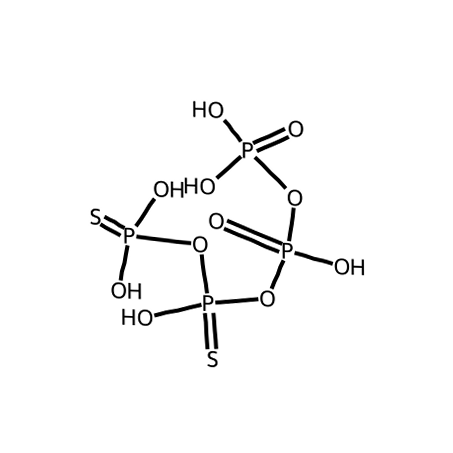 O=P(O)(O)OP(=O)(O)OP(O)(=S)OP(O)(O)=S